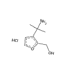 CC(C)(N)c1ccoc1CO.Cl